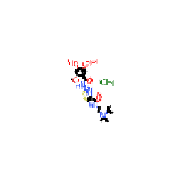 COc1cc(O)c(O)cc1C(=O)Nc1nc(C(=O)NCCN(C(C)C)C(C)C)cs1.Cl